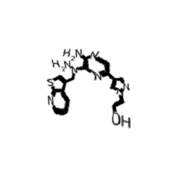 Nc1ncc(-c2cnn(CCO)c2)nc1N(N)Cc1csc2ncccc12